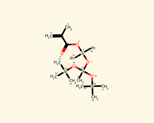 C=C(C)C(=O)O[Si](O[Si](C)(O[Si](C)(C)C)O[Si](C)(C)C)(C(C)C)C(C)C